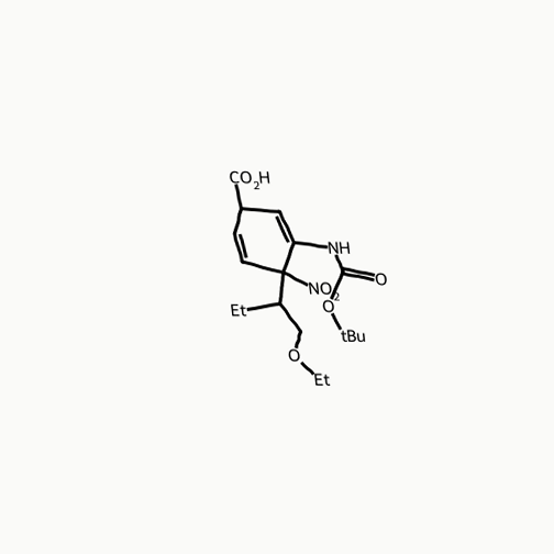 CCOCC(CC)C1([N+](=O)[O-])C=CC(C(=O)O)C=C1NC(=O)OC(C)(C)C